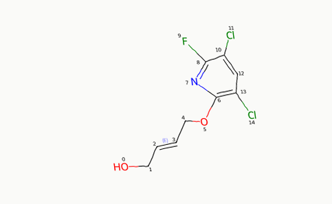 OC/C=C/COc1nc(F)c(Cl)cc1Cl